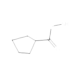 O=C(OS)C1CCCC1